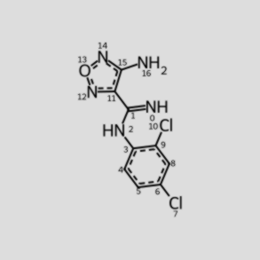 N=C(Nc1ccc(Cl)cc1Cl)c1nonc1N